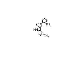 Cn1cncc1-c1cnc2[nH]c3cnc(N)cc3c2c1